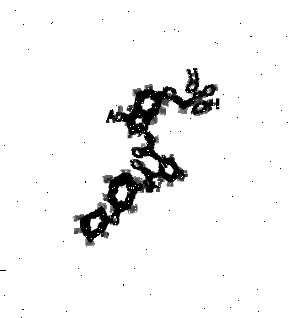 CC(=O)c1cn(CC(=O)N2C[C@H](F)C[C@H]2C(=O)Nc2cccc(Oc3ccccc3)c2)c2cc(OCP(=O)(O)O)ccc12